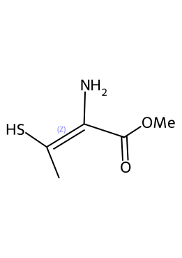 COC(=O)/C(N)=C(\C)S